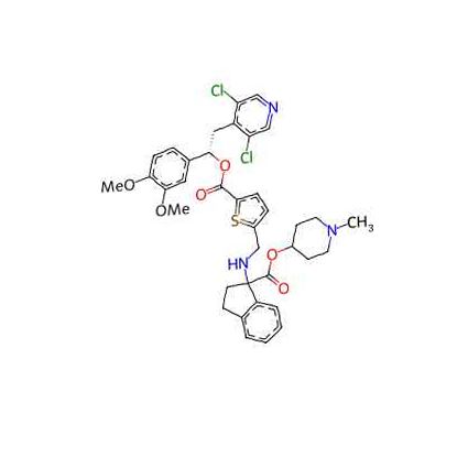 COc1ccc([C@H](Cc2c(Cl)cncc2Cl)OC(=O)c2ccc(CNC3(C(=O)OC4CCN(C)CC4)CCc4ccccc43)s2)cc1OC